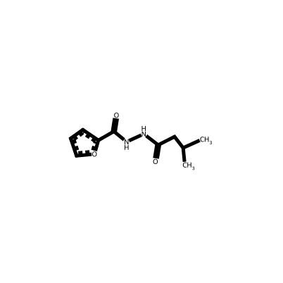 CC(C)CC(=O)NNC(=O)c1ccco1